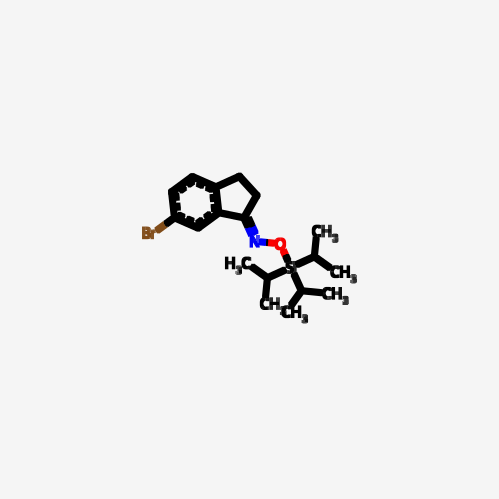 CC(C)[Si](ON=C1CCc2ccc(Br)cc21)(C(C)C)C(C)C